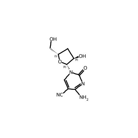 N#Cc1cn([C@@H]2O[C@H](CO)C[C@H]2O)c(=O)nc1N